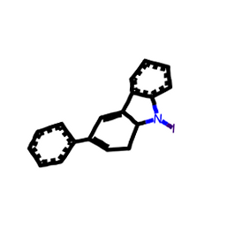 IN1c2ccccc2C2=CC(c3ccccc3)=CCC21